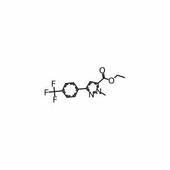 CCOC(=O)c1cc(-c2ccc(C(F)(F)F)cc2)nn1C